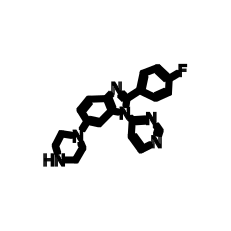 Fc1ccc(-c2nc3ccc(N4CCNCC4)cc3n2-c2ccncn2)cc1